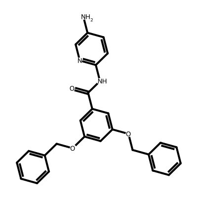 Nc1ccc(NC(=O)c2cc(OCc3ccccc3)cc(OCc3ccccc3)c2)nc1